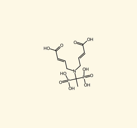 CC(N(CC=CC(=O)O)CC=CC(=O)O)(P(=O)(O)O)P(=O)(O)O